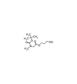 CN(CC(=O)OCCCO)C(=O)OC(C)(C)C